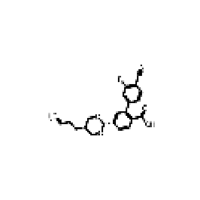 C=CCC[C@H]1CO[C@H](c2ccc(C(=O)O)c(-c3ccc(C#N)c(F)c3)c2)OC1